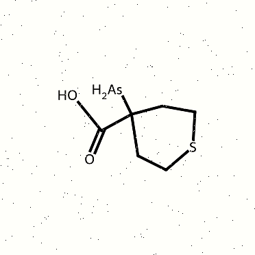 O=C(O)C1([AsH2])CCSCC1